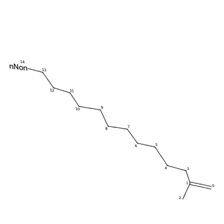 C=C(C)CCCCCCCCCCCCCCCCCCCC